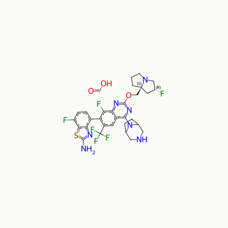 Nc1nc2c(-c3c(C(F)(F)F)cc4c(N5C6CCC5CNC6)nc(OC[C@@]56CCCN5C[C@H](F)C6)nc4c3F)ccc(F)c2s1.O=CO